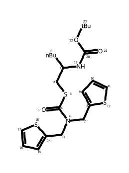 CCCCC(CSC(=O)N(Cc1cccs1)Cc1cccs1)NC(=O)OC(C)(C)C